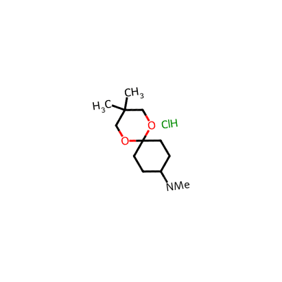 CNC1CCC2(CC1)OCC(C)(C)CO2.Cl